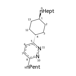 CCCCCCC[C@H]1CC[C@H](c2ccc(CCCCC)nn2)CC1